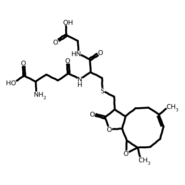 CC1=CCCC2(C)OC2C2OC(=O)C(CSCC(NC(=O)CCC(N)C(=O)O)C(=O)NCC(=O)O)C2CC1